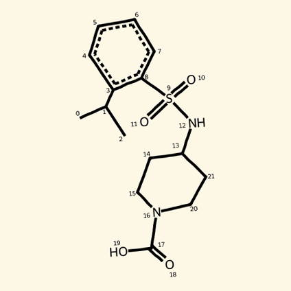 CC(C)c1ccccc1S(=O)(=O)NC1CCN(C(=O)O)CC1